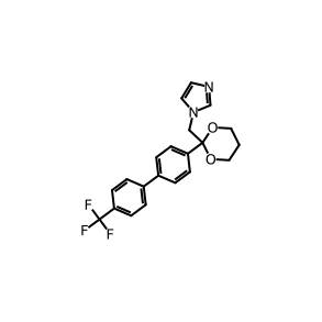 FC(F)(F)c1ccc(-c2ccc(C3(Cn4ccnc4)OCCCO3)cc2)cc1